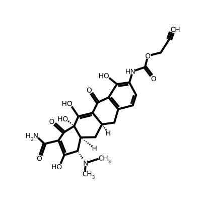 C#CCOC(=O)Nc1ccc2c(c1O)C(=O)C1=C(O)[C@]3(O)C(=O)C(C(N)=O)=C(O)[C@@H](N(C)C)[C@@H]3C[C@@H]1C2